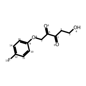 O=C(CCO)C(=O)COc1ccc(F)cc1